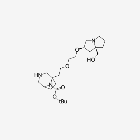 CC(C)(C)OC(=O)N1C2CCC1(CCOCCO[C@H]1CN3CCC[C@]3(CO)C1)CNC2